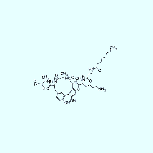 CCCCCCCC(=O)NCCC(=O)N[C@@H](CCCCN)C(=O)N(C)[C@@H]1C(=O)N[C@@H](C)C(=O)NC(C(=O)N[C@@H](C)C(=O)C2CO2)Cc2ccc(O)c(c2)-c2cc1ccc2O